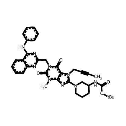 CC#CCn1c(N2CCCC(NC(=O)OC(C)(C)C)C2)nc2c1c(=O)n(Cc1nc(Nc3ccccc3)c3ccccc3n1)c(=O)n2C